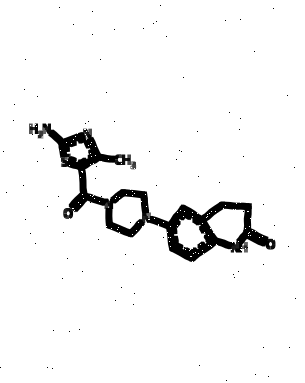 Cc1nc(N)sc1C(=O)N1CCN(c2ccc3c(c2)CCC(=O)N3)CC1